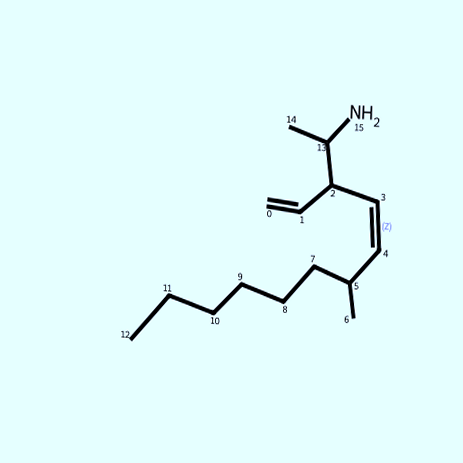 C=CC(/C=C\C(C)CCCCCC)C(C)N